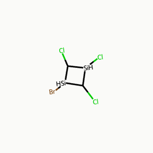 ClC1[SiH](Cl)C(Cl)[SiH]1Br